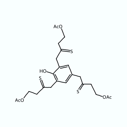 CC(=O)OCCC(=S)Cc1cc(CC(=S)CCOC(C)=O)c(O)c(CC(=S)CCOC(C)=O)c1